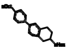 CCCCCCCCc1ccc(-c2ccc3c(c2)CCC(CCCCCC)C3)cc1